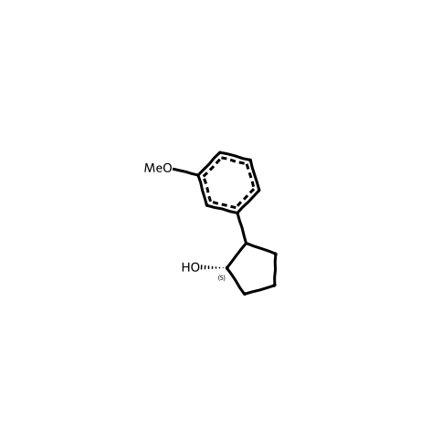 COc1cccc(C2CCC[C@@H]2O)c1